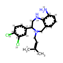 CC(C)=CCN1Cc2cccc(N)c2NCC1c1ccc(Cl)c(Cl)c1